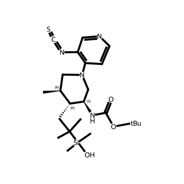 C[C@H]1CN(c2ccncc2N=C=S)C[C@@H](NC(=O)OC(C)(C)C)[C@@H]1CC(C)(C)[Si](C)(C)O